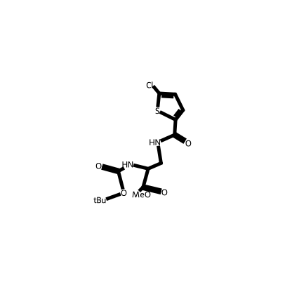 COC(=O)C(CNC(=O)c1ccc(Cl)s1)NC(=O)OC(C)(C)C